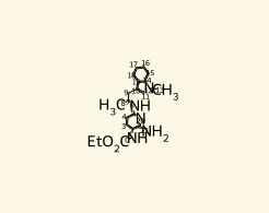 CCOC(=O)Nc1ccc(NC(C)Cc2cn(C)c3ccccc23)nc1N